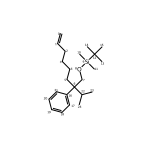 C=CCCCCC(CO[Si](C)(C)C(C)(C)C)(c1ccccc1)C(C)C